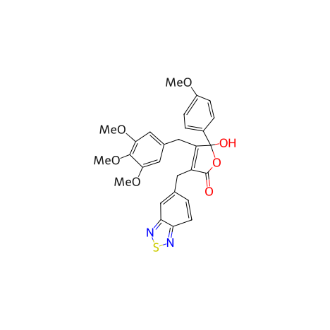 COc1ccc(C2(O)OC(=O)C(Cc3ccc4nsnc4c3)=C2Cc2cc(OC)c(OC)c(OC)c2)cc1